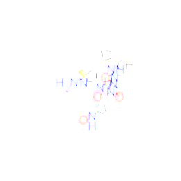 C#CCN(C(=O)NCc1ccccc1)N1CC(=O)N2[C@@H](Cc3ccc(NC=O)cc3)C(=O)N(Cc3cccc4sc(N)nc34)C[C@@H]21